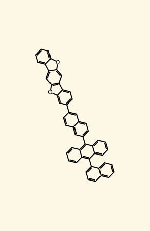 c1ccc2c(-c3c4ccccc4c(-c4ccc5cc(-c6ccc7c(c6)oc6cc8c(cc67)oc6ccccc68)ccc5c4)c4ccccc34)cccc2c1